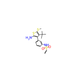 C=CS(=O)(=O)Nc1cccc(-c2c(N)sc(SC)c2C(C)(C)C)c1